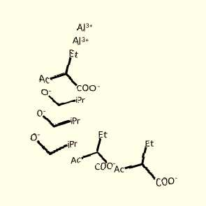 CC(C)C[O-].CC(C)C[O-].CC(C)C[O-].CCC(C(C)=O)C(=O)[O-].CCC(C(C)=O)C(=O)[O-].CCC(C(C)=O)C(=O)[O-].[Al+3].[Al+3]